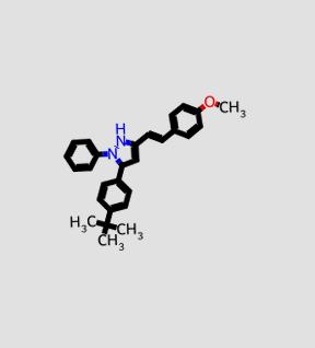 COc1ccc(C=CC2=CC(c3ccc(C(C)(C)C)cc3)N(c3ccccc3)N2)cc1